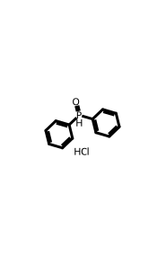 Cl.O=[PH](c1ccccc1)c1ccccc1